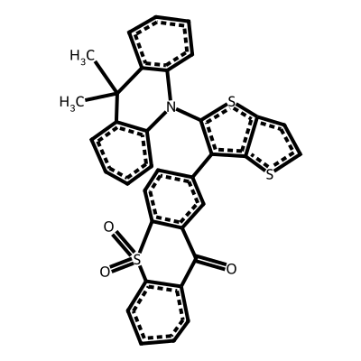 CC1(C)c2ccccc2N(c2sc3ccsc3c2-c2ccc3c(c2)C(=O)c2ccccc2S3(=O)=O)c2ccccc21